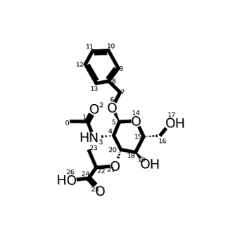 CC(=O)N[C@@H]1[C@@H](OCc2ccccc2)O[C@H](CO)[C@@H](O)[C@@H]1OC(C)C(=O)O